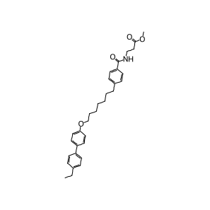 CCc1ccc(-c2ccc(OCCCCCCCc3ccc(C(=O)NCCC(=O)OC)cc3)cc2)cc1